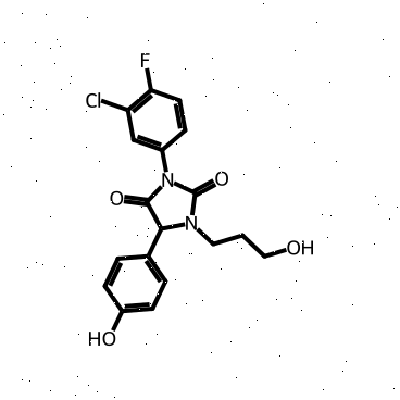 O=C1C(c2ccc(O)cc2)N(CCCO)C(=O)N1c1ccc(F)c(Cl)c1